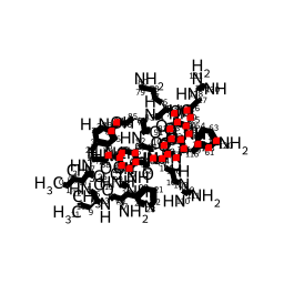 CC[C@H](C)[C@H](NC(=O)[C@H](CC(C)C)NC(=O)[C@@H](N)Cc1cccnc1)C(=O)N[C@@H](Cc1ccc(O)cc1)C(=O)N[C@@H](C)C(=O)N[C@@H](CCC(N)=O)C(=O)NCC(=O)N[C@@H](Cc1ccccc1)C(=O)N[C@@H](CO)C(=O)N[C@@H](CCCCN)C(=O)N[C@@H](CCCCN)C(=O)N[C@@H](CCCNC(=N)N)C(=O)N[C@@H](CCCNC(=N)N)C(=O)N[C@@H](CCCCN)C(=O)N[C@@H](CCCNC(=N)N)C(=O)O